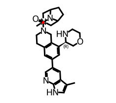 Cc1c[nH]c2ncc(-c3cc4c(c([C@@H]5COCCN5)c3)CN(C(=O)N3C5CCC3CN(C)C5)CC4)cc12